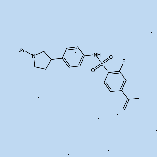 C=C(C)c1ccc(S(=O)(=O)Nc2ccc(C3CCN(CCC)C3)cc2)c(F)c1